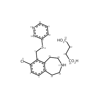 Clc1ccc2c(c1CSc1cccnn1)CCNCC2.O=C(O)CCC(=O)O